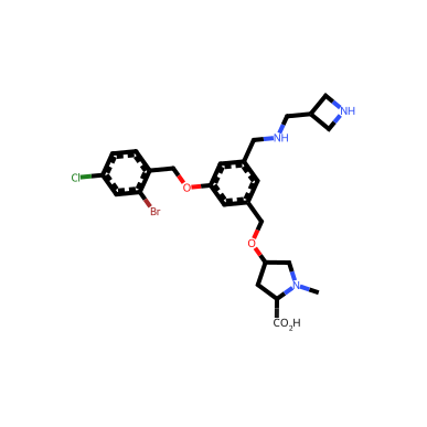 CN1CC(OCc2cc(CNCC3CNC3)cc(OCc3ccc(Cl)cc3Br)c2)CC1C(=O)O